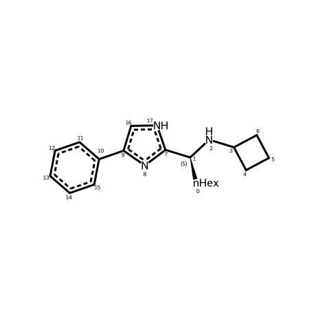 CCCCCC[C@H](NC1CCC1)c1nc(-c2ccccc2)c[nH]1